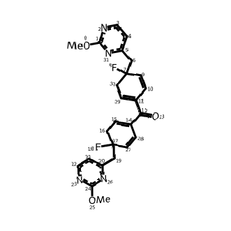 COc1nccc(CC2(F)C=CC(C(=O)C3=CCC(F)(Cc4ccnc(OC)n4)C=C3)=CC2)n1